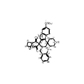 COc1ccc2c3c([nH]c2c1)C(C(N)=O)(C(=O)C1CCC1)N(Cc1ccccc1F)CC31CCNCC1